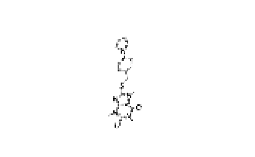 Cn1c(=O)c2c(nc(SCc3ccc(-n4cccc4)cc3)n2C)n(C)c1=O